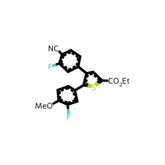 CCOC(=O)c1cc(-c2ccc(C#N)c(F)c2)c(-c2ccc(OC)c(F)c2)s1